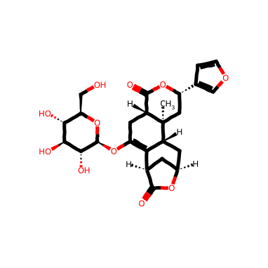 C[C@@]12C[C@@H](c3ccoc3)OC(=O)[C@H]1CC(O[C@@H]1O[C@H](CO)[C@@H](O)[C@H](O)[C@H]1O)=C1[C@H]3C[C@@H](C[C@H]12)OC3=O